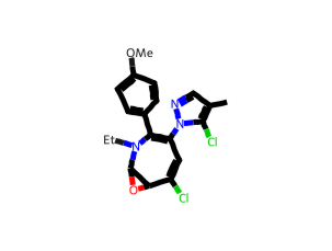 CCN1C(c2ccc(OC)cc2)=C(n2ncc(C)c2Cl)C=C(Cl)C2OC21